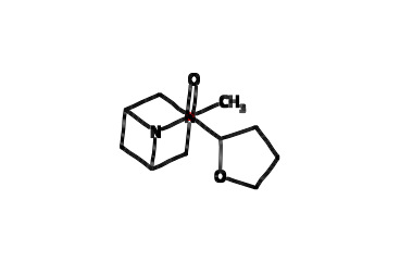 CN1CC2CC(C1)N2C(=O)C1CCCO1